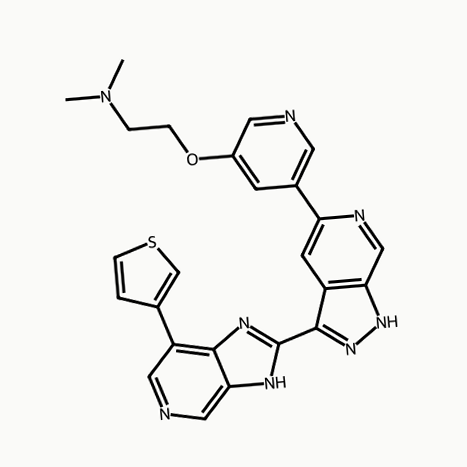 CN(C)CCOc1cncc(-c2cc3c(-c4nc5c(-c6ccsc6)cncc5[nH]4)n[nH]c3cn2)c1